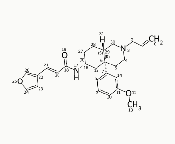 C=CCN1CC[C@@]2(c3cccc(OC)c3)C[C@H](NC(=O)C=Cc3ccoc3)CC[C@@H]2C1